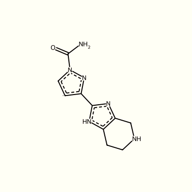 NC(=O)n1c[c]c(-c2nc3c([nH]2)CCNC3)n1